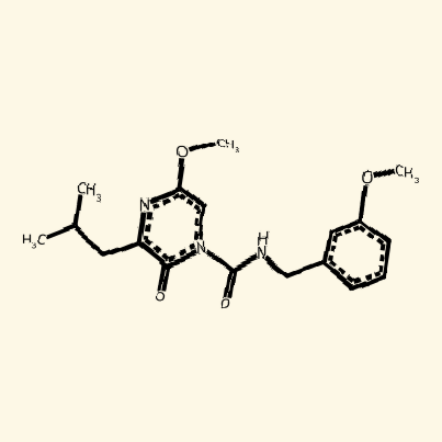 COc1cccc(CNC(=O)n2cc(OC)nc(CC(C)C)c2=O)c1